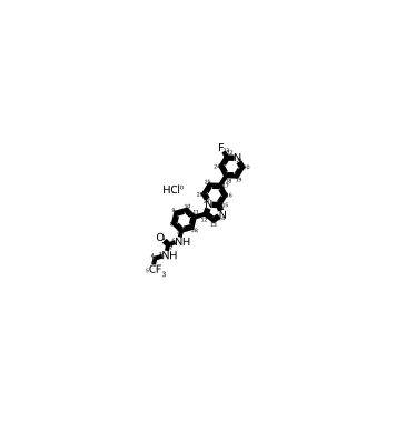 Cl.O=C(NCC(F)(F)F)Nc1cccc(-c2cnc3cc(-c4ccnc(F)c4)ccn23)c1